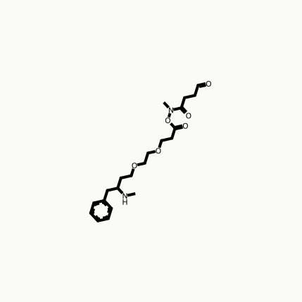 CNC(CCOCCOCCC(=O)ON(C)C(=O)CCC=O)Cc1ccccc1